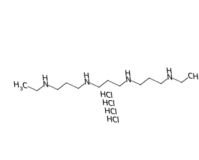 CCNCCCNCCCNCCCNCC.Cl.Cl.Cl.Cl